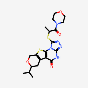 CC(Sc1nnc2[nH]c(=O)c3c4c(sc3n12)COC(C(C)C)C4)C(=O)N1CCOCC1